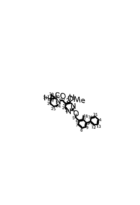 COc1nc(OCc2cccc(-c3ccccc3)c2C)ncc1CN1CCC[C@@H]2C[C@@]21C(=O)O